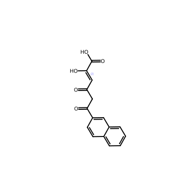 O=C(/C=C(\O)C(=O)O)CC(=O)c1ccc2ccccc2c1